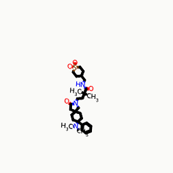 CN(C)C1(c2ccccc2)CCC2(CC1)CC(=O)N(CCC(C)(C)C(=O)NCC1CCS(=O)(=O)CC1)C2